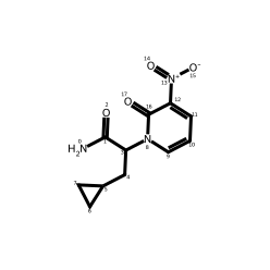 NC(=O)C(CC1CC1)n1cccc([N+](=O)[O-])c1=O